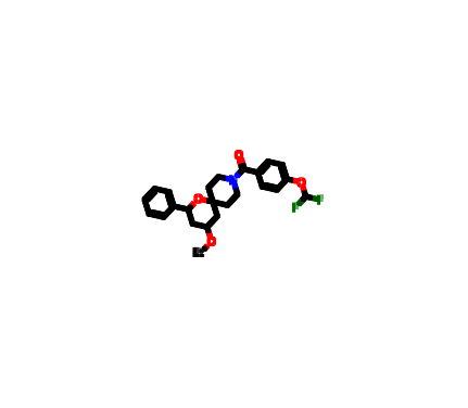 CCOC1CC(c2ccccc2)OC2(CCN(C(=O)c3ccc(OC(F)F)cc3)CC2)C1